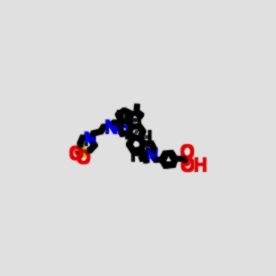 C=C(C)[C@@H]1CC[C@]2(CNCCCN3CCS(=O)(=O)CC3)CC[C@]3(C)[C@H](CC[C@@H]4[C@@]5(C)CCN(Cc6ccc(C(=O)O)cc6)C(C)(C)[C@@H]5CC[C@]43C)[C@@H]12